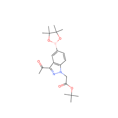 CC(=O)c1nn(CC(=O)OC(C)(C)C)c2ccc(B3OC(C)(C)C(C)(C)O3)cc12